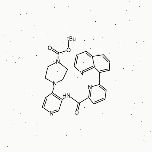 CC(C)(C)OC(=O)N1CCN(c2ccncc2NC(=O)c2cccc(-c3cccc4cccnc34)n2)CC1